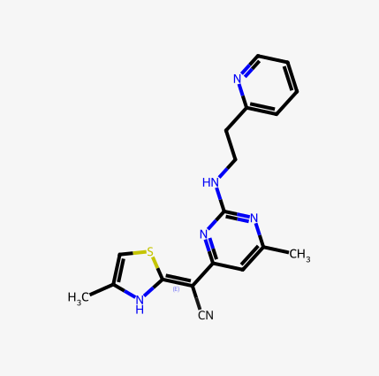 CC1=CS/C(=C(/C#N)c2cc(C)nc(NCCc3ccccn3)n2)N1